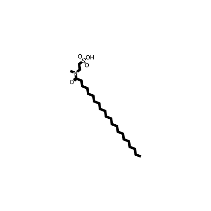 CCCCCCCCCCCCCCCCCCCCCC(=O)N(C)CCS(=O)(=O)O